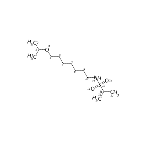 CC(C)OCCCCCCCNS(=O)(=O)C(C)C